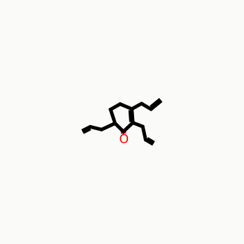 C=CCC1=C(CC=C)C(=O)C(CC=C)CC1